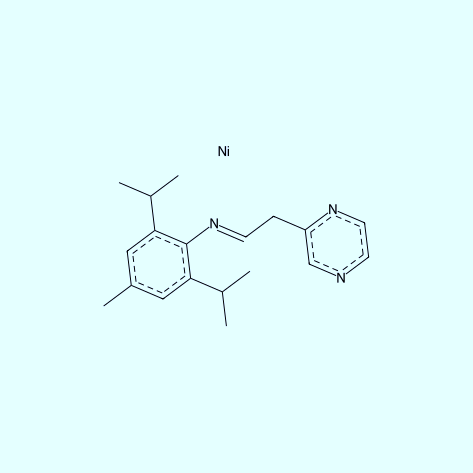 Cc1cc(C(C)C)c(N=CCc2cnccn2)c(C(C)C)c1.[Ni]